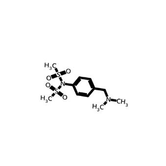 CN(C)Cc1ccc(N(S(C)(=O)=O)S(C)(=O)=O)cc1